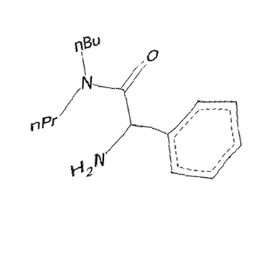 CCCCN(CCC)C(=O)C(N)c1ccccc1